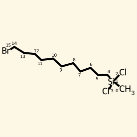 C[Si](Cl)(Cl)CCCCCCCCCCCBr